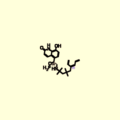 C=C/C=C(\C=C)CC(C)(C)CC(C)(C)NC[C@H](OP)c1ccc(O)c2[nH]c(=O)ccc12